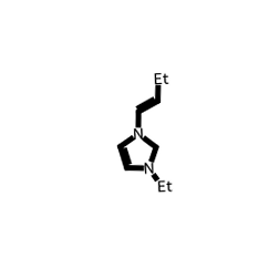 CCC=CN1C=CN(CC)C1